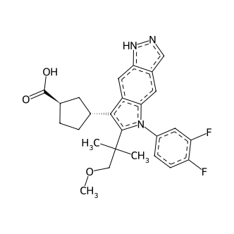 COCC(C)(C)c1c([C@@H]2CC[C@@H](C(=O)O)C2)c2cc3[nH]ncc3cc2n1-c1ccc(F)c(F)c1